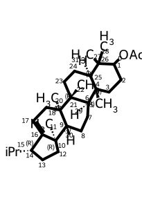 CC(=O)OC1CC[C@]2(C)[C@H]3CC[C@@H]4[C@@]5(C)CC[C@H](C(C)C)C5=CC[C@@]4(C)[C@]3(C)CC[C@H]2C1(C)C